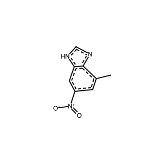 Cc1cc([N+](=O)[O-])cc2[nH]cnc12